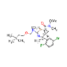 CON(C)C(=O)[C@]12C[C@H]1[C@@](C)(c1cc(Br)ccc1F)N=C(N(COCC[Si](C)(C)C)C(=O)O)S2